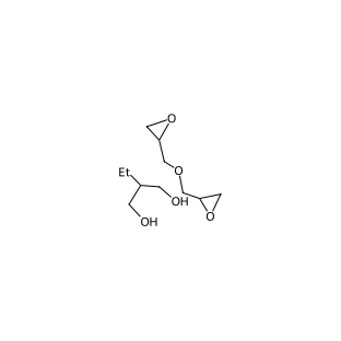 C(OCC1CO1)C1CO1.CCC(CO)CO